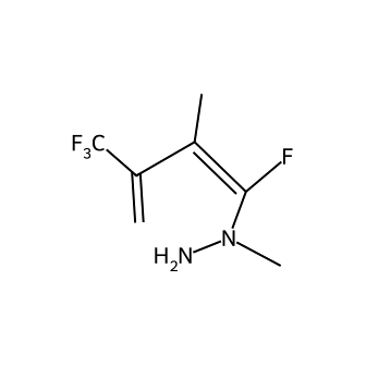 C=C(/C(C)=C(/F)N(C)N)C(F)(F)F